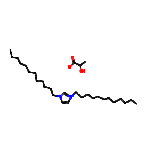 CC(O)C(=O)[O-].CCCCCCCCCCCCn1cc[n+](CCCCCCCCCCCC)c1